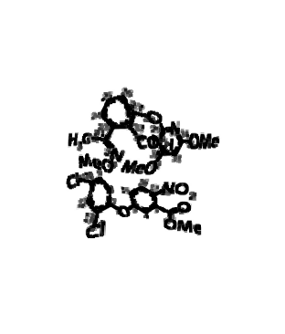 COC(=O)c1cc(Oc2ccc(Cl)cc2Cl)ccc1[N+](=O)[O-].CON=C(C)c1cccc(Oc2nc(OC)cc(OC)n2)c1C(=O)O